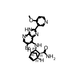 COc1ccncc1-c1nc2c(N[C@H]3[C@@H](C(N)=O)[C@@H]4C=C[C@H]3C4)c(Br)cnc2[nH]1